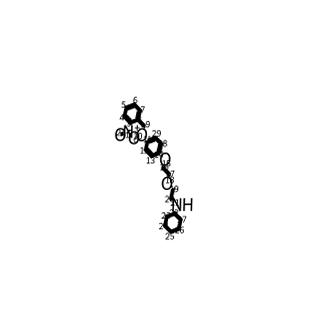 O=[N+]([O-])c1ccccc1COc1ccc(OCCOCCNC2CCCCC2)cc1